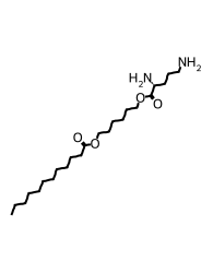 CCCCCCCCCCCC(=O)OCCCCCCOC(=O)[C@H](N)CCCN